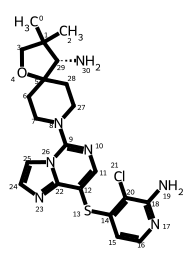 CC1(C)COC2(CCN(c3ncc(Sc4ccnc(N)c4Cl)c4nccn34)CC2)[C@H]1N